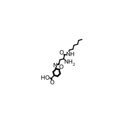 CCCCCCNC(=O)C(N)Cc1nc2cc(C(=O)O)ccc2o1